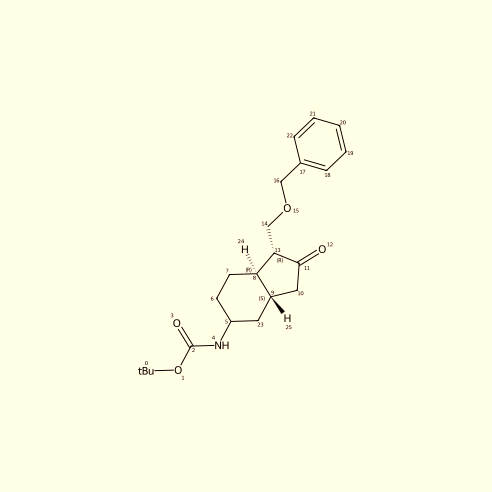 CC(C)(C)OC(=O)NC1CC[C@@H]2[C@H](CC(=O)[C@H]2COCc2ccccc2)C1